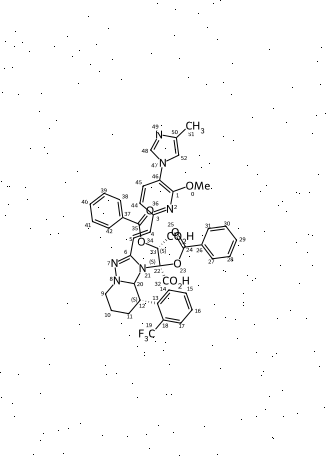 COc1nc(C=CC2=NN3CCC[C@@H](c4ccccc4C(F)(F)F)C3N2[C@@](OC(=O)c2ccccc2)(C(=O)O)[C@H](OC(=O)c2ccccc2)C(=O)O)ccc1-n1cnc(C)c1